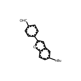 CCCCc1ccc2oc(-c3ccc(C=O)cc3)cc2c1